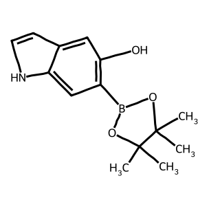 CC1(C)OB(c2cc3[nH]ccc3cc2O)OC1(C)C